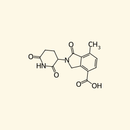 Cc1ccc(C(=O)O)c2c1C(=O)N(C1CCC(=O)NC1=O)C2